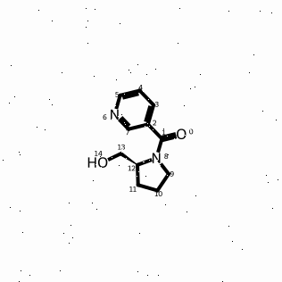 O=C(c1cccnc1)N1CCC[C@H]1CO